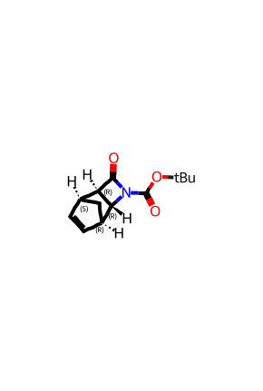 CC(C)(C)OC(=O)N1C(=O)[C@H]2[C@H]1[C@H]1C=C[C@@H]2C1